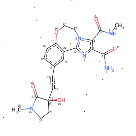 CNC(=O)c1c(C(N)=O)nc2n1CCOc1ccc(C#C[C@]3(O)CCN(C)C3=O)cc1-2